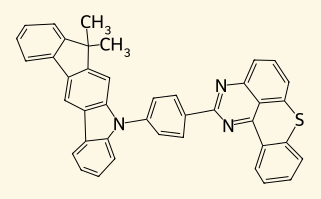 CC1(C)c2ccccc2-c2cc3c4ccccc4n(-c4ccc(-c5nc6c7c(cccc7n5)Sc5ccccc5-6)cc4)c3cc21